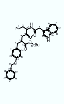 CC(C)CC(NC(=O)Cc1c[nH]c2ccccc12)C(=O)CC(Cc1ccc(OCc2ccccc2)cc1)C(=O)OC(C)(C)C